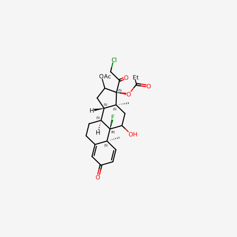 CCC(=O)O[C@]1(C(=O)CCl)C(OC(C)=O)C[C@H]2[C@@H]3CCC4=CC(=O)C=C[C@]4(C)[C@@]3(F)C(O)C[C@@]21C